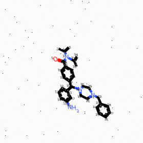 CC(C)N(C(=O)c1ccc(C(c2cccc(N)c2)N2CCN(Cc3ccccc3)CC2)cc1)C(C)C